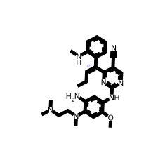 CC/C=C(/c1ccccc1NC)c1nc(Nc2cc(N)c(N(C)CCN(C)C)cc2OC)ncc1C#N